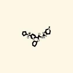 CN1CCc2sc(NC(=O)C(OC3CCCCC3)c3ccc(S(=O)(=O)C4CCCC4)cn3)nc2C1